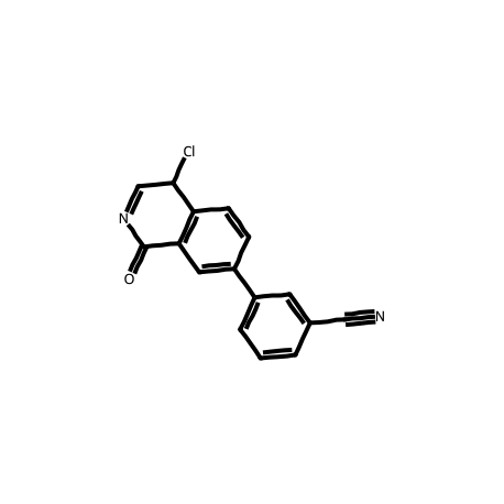 N#Cc1cccc(-c2ccc3c(c2)C(=O)N=CC3Cl)c1